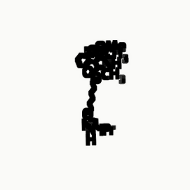 COC(=O)C1=C(C)NC(C)=C(C(=O)OCCCCCCOc2cc(C(C)C)[nH]n2)C1c1ccccc1[N+](=O)[O-]